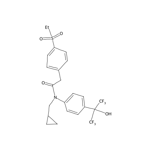 CCS(=O)(=O)c1ccc(CC(=O)N(CC2CC2)c2ccc(C(O)(C(F)(F)F)C(F)(F)F)cc2)cc1